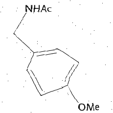 COc1ccc(CNC(C)=O)cc1